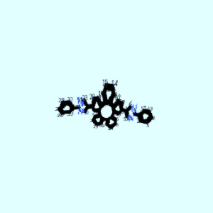 c1ccc(-c2ncc(-c3ccc4c5ccccc5c5ccc(-c6cnc(-c7ccccc7)nc6)cc5c5ccccc5c5ccccc5c4c3)cn2)cc1